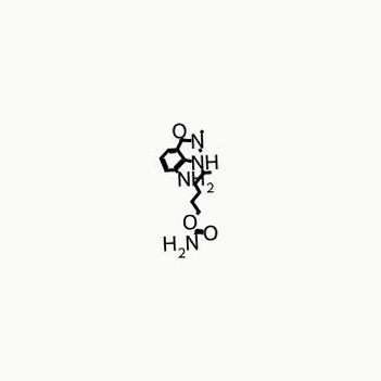 CC(CCCCOC(N)=O)Nc1c(N)cccc1C(=O)N(C)C